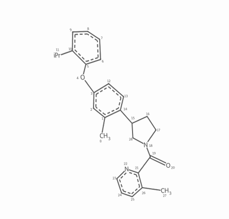 Cc1cc(Oc2ccccc2C(C)C)ccc1C1CCN(C(=O)c2ncccc2C)C1